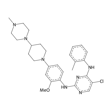 COc1cc(N2CCC(N3CCN(C)CC3)CC2)ccc1Nc1ncc(Cl)c(Nc2ccccc2C)n1